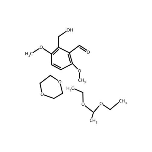 C1COCCO1.CCOC(C)OCC.COc1ccc(OC)c(CO)c1C=O